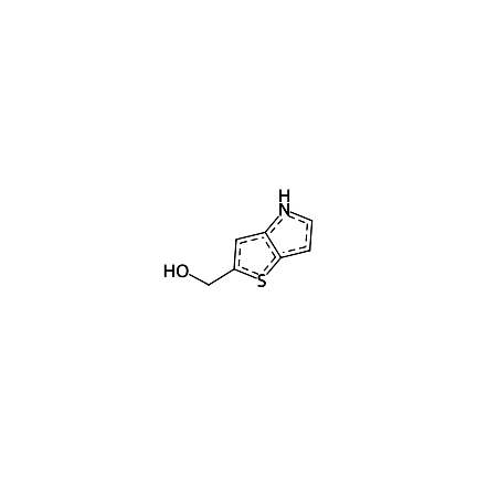 OCc1cc2[nH]ccc2s1